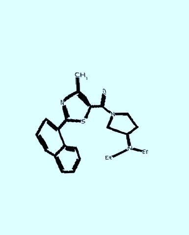 CCN(CC)C1CCN(C(=O)c2sc(-c3cccc4ccccc34)nc2C)C1